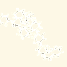 c1ccc(-c2nc3c(c4ccccc24)C2(c4ccccc4-c4ccc(-c5ccc(-c6ccc7ccc8cccnc8c7n6)cc5)cc42)c2ccccc2-3)cc1